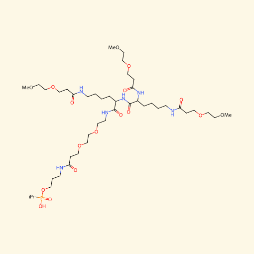 COCCOCCC(=O)NCCCCC(NC(=O)CCOCCOC)C(=O)NC(CCCCNC(=O)CCOCCOC)C(=O)NCCOCCOCCC(=O)NCCCOP(=O)(O)C(C)C